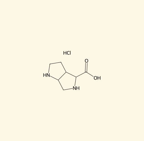 Cl.O=C(O)C1NCC2NCCC21